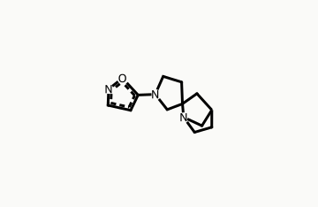 c1cc(N2CCC3(CC4CCN3C4)C2)on1